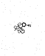 CC(=O)O[C@H]1[C@H](N2CCCC2=O)c2cc(C#N)ccc2OC1(C)C